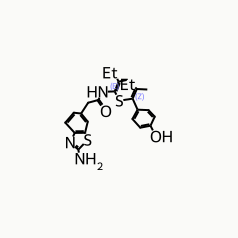 CC/C(C)=C(\S/C(NC(=O)Cc1ccc2nc(N)sc2c1)=C(\C)CC)c1ccc(O)cc1